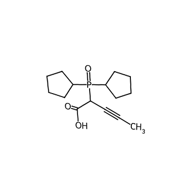 CC#CC(C(=O)O)P(=O)(C1CCCC1)C1CCCC1